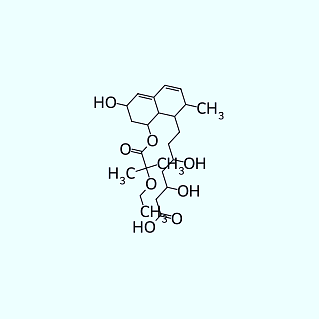 CCOC(C)(C)C(=O)OC1CC(O)C=C2C=CC(C)C(CCC(O)CC(O)CC(=O)O)C21